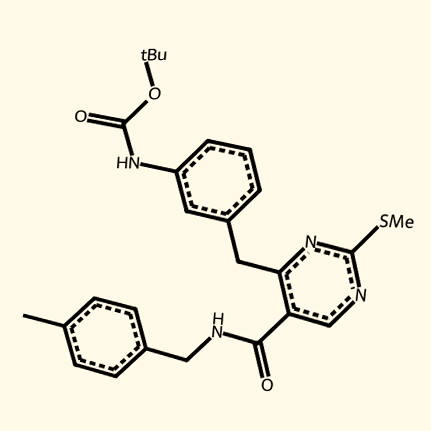 CSc1ncc(C(=O)NCc2ccc(C)cc2)c(Cc2cccc(NC(=O)OC(C)(C)C)c2)n1